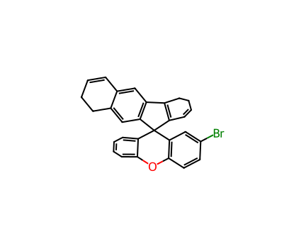 Brc1ccc2c(c1)C1(C3=C(CCC=C3)c3cc4c(cc31)CCC=C4)c1ccccc1O2